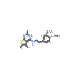 COc1ccc(CCNc2nc(C)nc3sc(C)c(C)c23)cc1OC